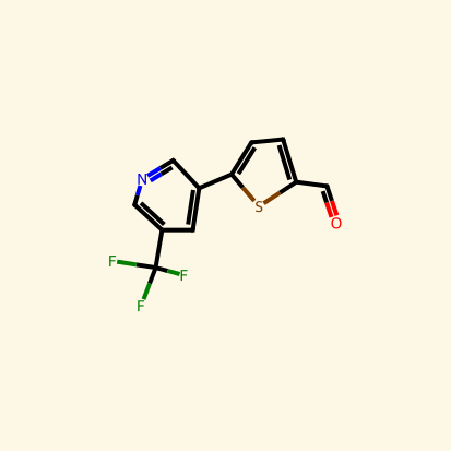 O=Cc1ccc(-c2cncc(C(F)(F)F)c2)s1